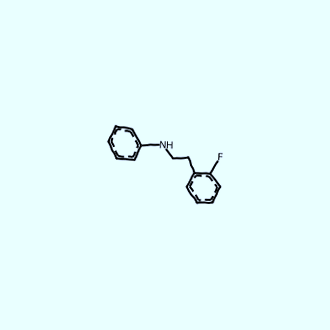 Fc1ccccc1CCNc1ccccc1